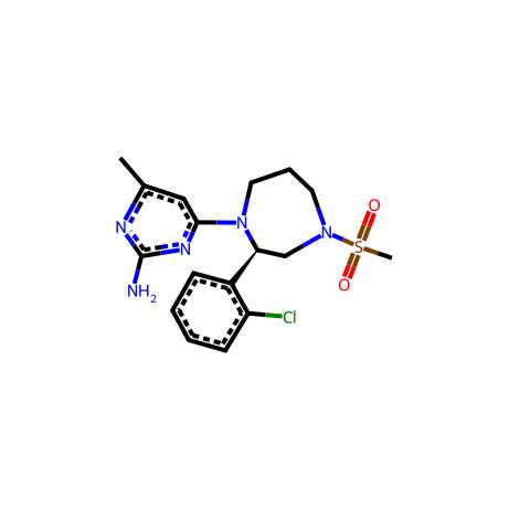 Cc1cc(N2CCCN(S(C)(=O)=O)C[C@H]2c2ccccc2Cl)nc(N)n1